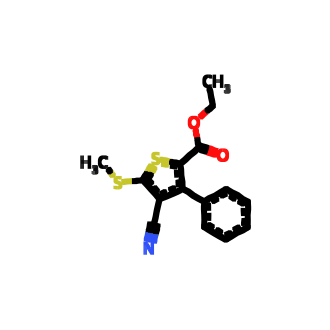 CCOC(=O)c1sc(SC)c(C#N)c1-c1ccccc1